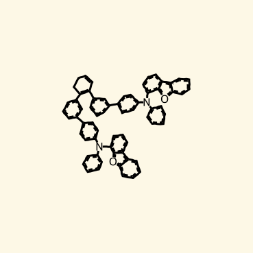 C1=CC(c2cccc(-c3ccc(N(c4ccccc4)c4cccc5c4oc4ccccc45)cc3)c2)=C(c2cccc(-c3ccc(N(c4ccccc4)c4cccc5c4oc4ccccc45)cc3)c2)CC1